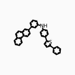 c1ccc(-c2ccc(-c3ccc(Nc4cccc(-c5ccc6c(ccc7ccccc76)c5)c4)cc3)s2)cc1